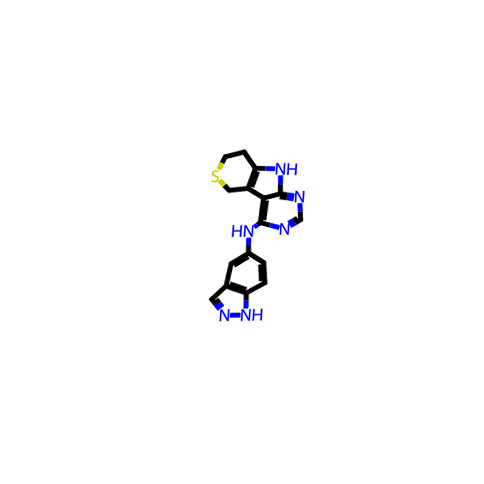 c1nc(Nc2ccc3[nH]ncc3c2)c2c3c([nH]c2n1)CCSC3